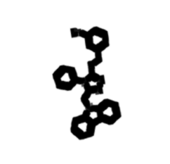 Brc1cccc(CSc2nnc(Cn3c4ccccc4c4ccccc43)n2-c2ccccc2)c1